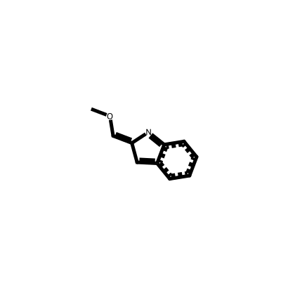 COC=C1C=c2ccccc2=N1